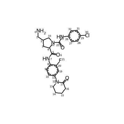 NCC1CC(C(=O)Nc2ccc(N3CCCCC3=O)cc2F)N(C(=O)Nc2ccc(Cl)cc2)C1